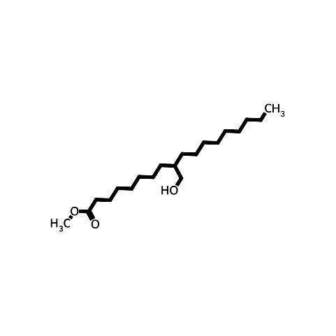 CCCCCCCCCC(CO)CCCCCCCC(=O)OC